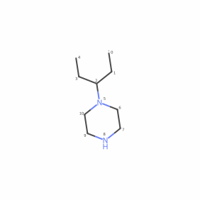 [CH2]CC(CC)N1CCNCC1